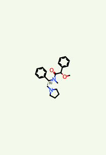 COC(C(=O)N(C)[C@H](CN1CCCC1)c1ccccc1)c1ccccc1